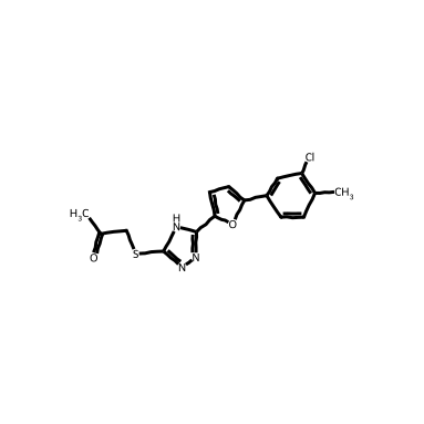 CC(=O)CSc1nnc(-c2ccc(-c3ccc(C)c(Cl)c3)o2)[nH]1